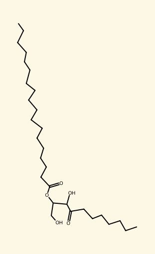 CCCCCCCCCCCCCCCCCC(=O)OC(CO)C(O)C(=O)CCCCCCC